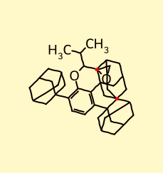 CC(C)C(Oc1c(C23CC4CC(CC(C4)C2)C3)ccc(C23CC4CC(CC(C4)C2)C3)c1C12CC3CC(CC(C3)C1)C2)C1CO1